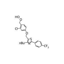 CCCCc1nc(-c2ccc(C(F)(F)F)cc2)sc1COc1ccc(COO)c(Cl)c1